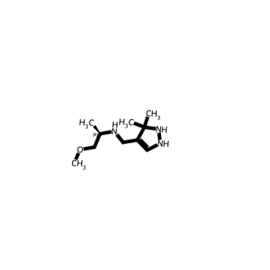 COC[C@@H](C)NCC1=CNNC1(C)C